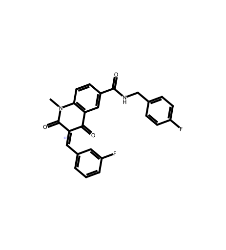 CN1C(=O)/C(=C/c2cccc(F)c2)C(=O)c2cc(C(=O)NCc3ccc(F)cc3)ccc21